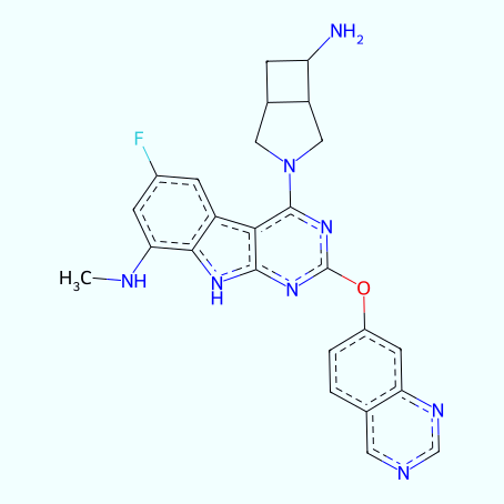 CNc1cc(F)cc2c1[nH]c1nc(Oc3ccc4cncnc4c3)nc(N3CC4CC(N)C4C3)c12